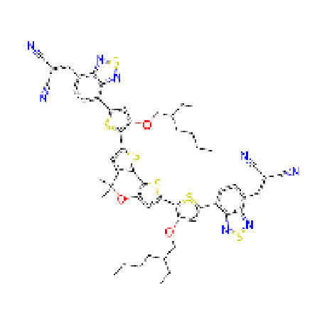 CCCCC(CC)COc1cc(-c2ccc(C=C(C#N)C#N)c3nsnc23)sc1-c1cc2c(s1)-c1sc(-c3sc(-c4ccc(C=C(C#N)C#N)c5nsnc45)cc3OCC(CC)CCCC)cc1C(C)(C)O2